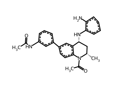 CC(=O)Nc1cccc(-c2ccc3c(c2)[C@H](Nc2ccccc2N)C[C@H](C)N3C(C)=O)c1